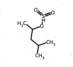 CC(C)CC(C)O[SH](=O)=O